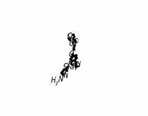 Nc1ccc(C(=O)NC2=Nc3cc(OCCCS(=O)(=O)N4CCOCC4)ccc3C3=NCCN23)cn1